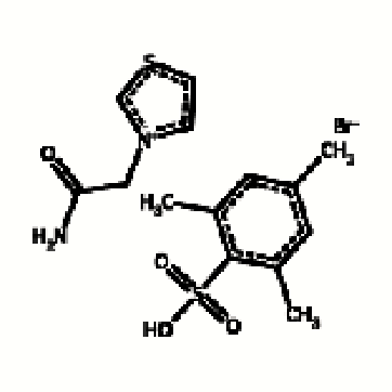 Cc1cc(C)c(S(=O)(=O)O)c(C)c1.NC(=O)C[n+]1ccsc1.[Br-]